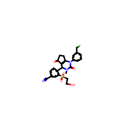 CN1C(=O)N(c2cccc(CF)c2)C2=C(C(=O)CC2)C1c1ccc(C#N)cc1S(=O)(=O)CCO